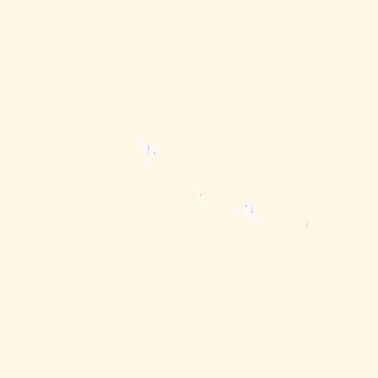 Fc1cc(Cl)cnc1COc1cccc(Br)n1